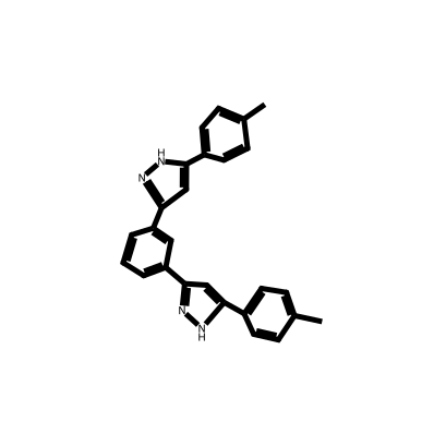 Cc1ccc(-c2cc(-c3cccc(-c4cc(-c5ccc(C)cc5)[nH]n4)c3)n[nH]2)cc1